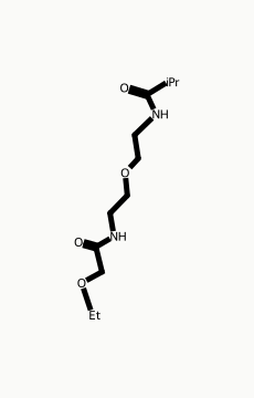 CCOCC(=O)NCCOCCNC(=O)C(C)C